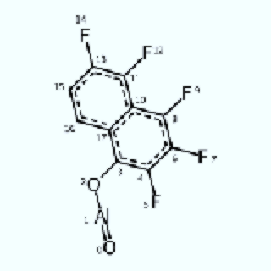 [O]=[Al][O]c1c(F)c(F)c(F)c2c(F)c(F)ccc12